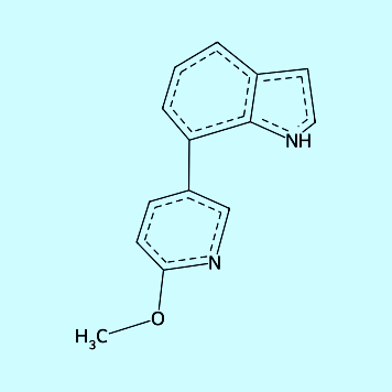 COc1ccc(-c2cccc3cc[nH]c23)cn1